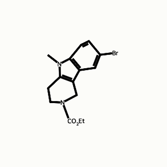 CCOC(=O)N1CCc2c(c3cc(Br)ccc3n2C)C1